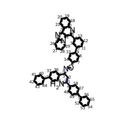 N/C(=C\C(=N/Oc1ccc(-c2cccc(-c3nc4ccccc4c4nc5ccccn5c34)c2)cc1)c1ccc(-c2ccccc2)cc1)c1ccc(-c2ccccc2)cc1